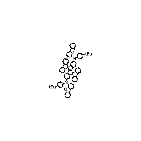 CC(C)(C)c1ccc(N(c2ccc3c(c2)C2(C4=C3C3(c5cc(N(c6ccc(C(C)(C)C)cc6)c6cccc7c6oc6ccccc67)ccc54)c4ccccc4-c4ccccc43)c3ccccc3-c3ccccc32)c2cccc3c2oc2ccccc23)cc1